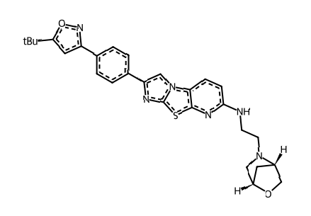 CC(C)(C)c1cc(-c2ccc(-c3cn4c(n3)sc3nc(NCCN5C[C@@H]6C[C@H]5CO6)ccc34)cc2)no1